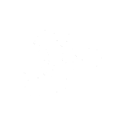 N#Cc1ccc(-n2c3ccccc3c3cccc(C#N)c32)c(-c2cccc(-n3c4ccccc4c4cccc(-n5c6ccccc6c6ccccc65)c43)c2)c1